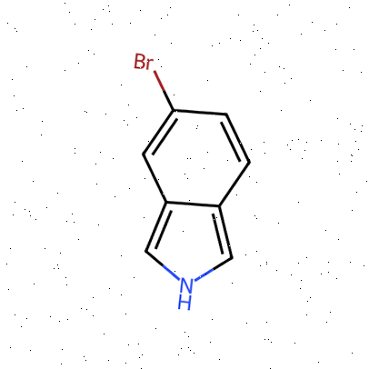 Brc1ccc2c[nH]cc2c1